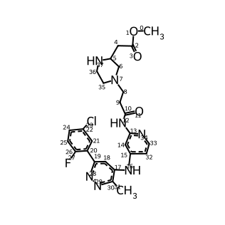 COC(=O)CC1CN(CCC(=O)Nc2cc(Nc3cc(-c4cc(Cl)ccc4F)nnc3C)ccn2)CCN1